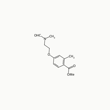 COC(=O)c1ccc(OCCN(C)C=O)cc1C